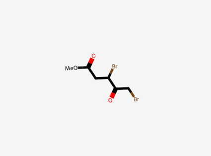 COC(=O)CC(Br)C(=O)CBr